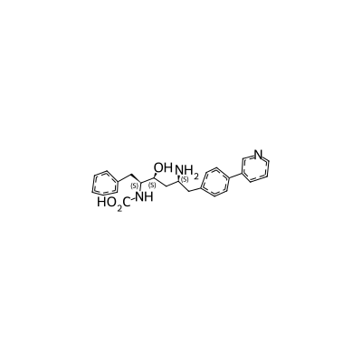 N[C@@H](Cc1ccc(-c2cccnc2)cc1)C[C@H](O)[C@H](Cc1ccccc1)NC(=O)O